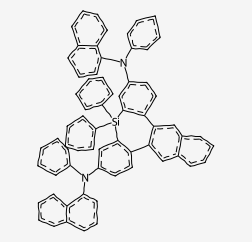 c1ccc(N(c2ccc3c(c2)[Si](c2ccccc2)(c2ccccc2)c2cc(N(c4ccccc4)c4cccc5ccccc45)ccc2-c2cc4ccccc4cc2-3)c2cccc3ccccc23)cc1